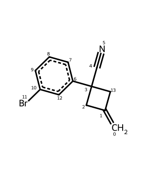 C=C1CC(C#N)(c2cccc(Br)c2)C1